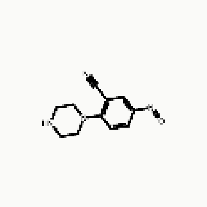 N#Cc1cc(N=O)ccc1N1CCNCC1